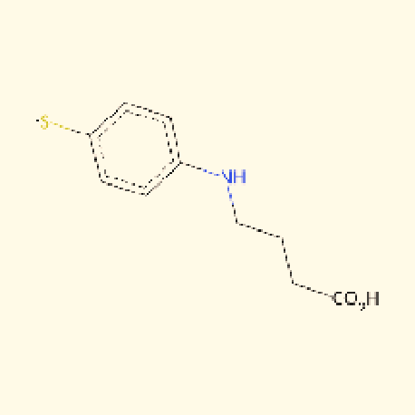 O=C(O)CCCNc1ccc([S])cc1